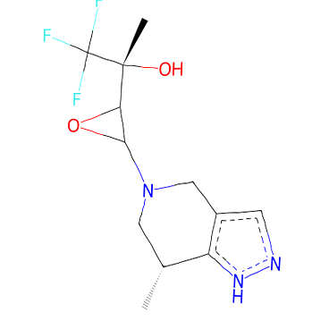 C[C@@H]1CN(C2OC2[C@@](C)(O)C(F)(F)F)Cc2cn[nH]c21